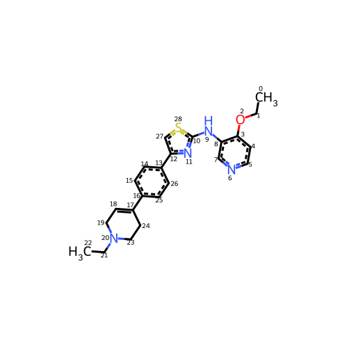 CCOc1ccncc1Nc1nc(-c2ccc(C3=CCN(CC)CC3)cc2)cs1